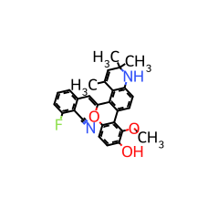 COc1c(O)ccc2c1-c1ccc3c(c1/C(=C/c1cccc(F)c1C#N)O2)C(C)=CC(C)(C)N3